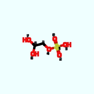 O=S(=O)(O)OCC(O)O